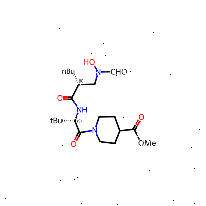 CCCC[C@H](CN(O)C=O)C(=O)N[C@H](C(=O)N1CCC(C(=O)OC)CC1)C(C)(C)C